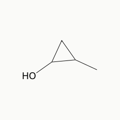 CC1CC1O